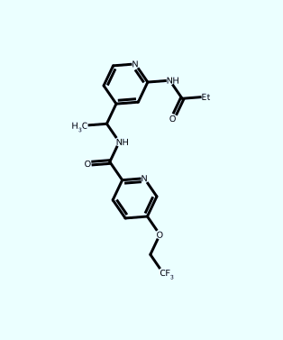 CCC(=O)Nc1cc(C(C)NC(=O)c2ccc(OCC(F)(F)F)cn2)ccn1